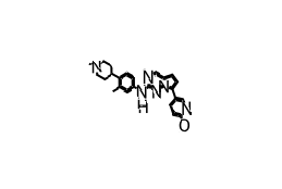 COc1ccc(-c2ccc3cnc(Nc4ccc(C5CCN(C)CC5)c(C)c4)nn23)cn1